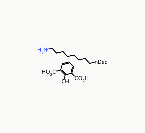 CCCCCCCCCCCCCCCCCCN.Cc1c(C(=O)O)cccc1C(=O)O